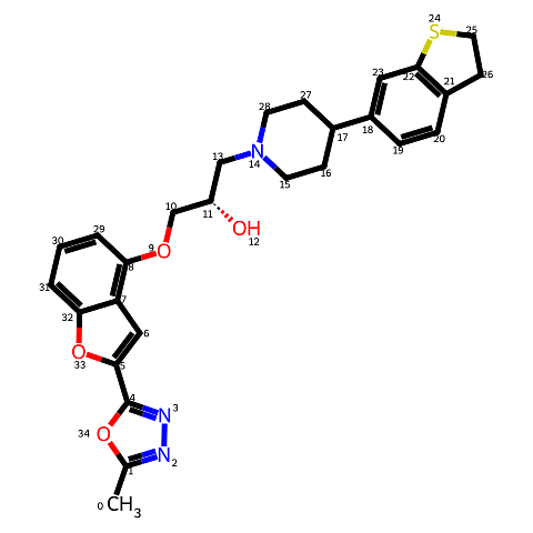 Cc1nnc(-c2cc3c(OC[C@@H](O)CN4CCC(c5ccc6c(c5)SCC6)CC4)cccc3o2)o1